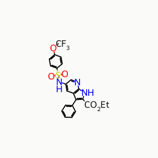 CCOC(=O)c1[nH]c2ncc(NS(=O)(=O)c3ccc(OC(F)(F)F)cc3)cc2c1-c1ccccc1